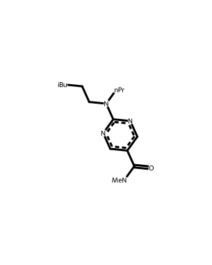 CCCN(CCC(C)CC)c1ncc(C(=O)NC)cn1